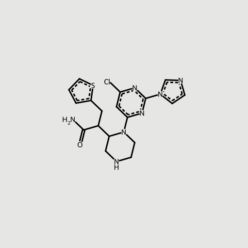 NC(=O)C(Cc1cccs1)C1CNCCN1c1cc(Cl)nc(-n2ccnc2)n1